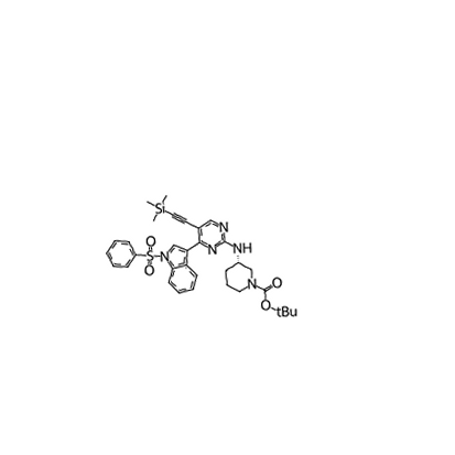 CC(C)(C)OC(=O)N1CCC[C@H](Nc2ncc(C#C[Si](C)(C)C)c(-c3cn(S(=O)(=O)c4ccccc4)c4ccccc34)n2)C1